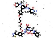 CCN(c1cc(-c2ccc(OCCCCOCCCOc3cc(-c4scnc4C)ccc3CNC(=O)[C@@H]3C[C@@H](O)CN3C(=O)[C@H](C(C)C)N3Cc4ccccc4C3=O)cc2)cc(C(=O)NCc2c(C)cc(C)[nH]c2=O)c1C)C1CCOCC1